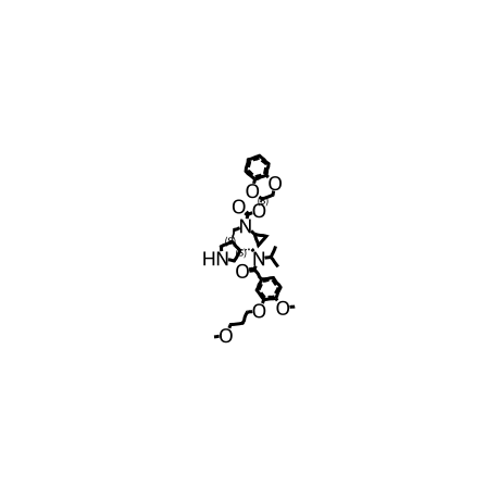 COCCCOc1cc(C(=O)N(C[C@@H]2CNC[C@H]2CN(C(=O)O[C@H]2COc3ccccc3O2)C2CC2)C(C)C)ccc1OC